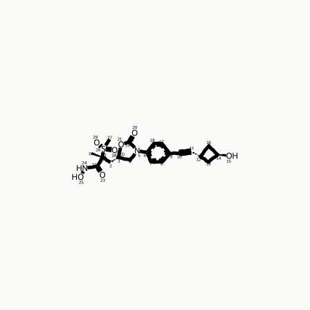 C[C@@](C[C@H]1CN(c2ccc(C#C[C@H]3C[C@H](O)C3)cc2)C(=O)O1)(C(=O)NO)S(C)(=O)=O